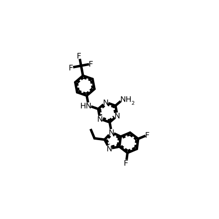 CCc1nc2c(F)cc(F)cc2n1-c1nc(N)nc(Nc2ccc(C(F)(F)F)cc2)n1